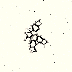 O=C1OC(O)(c2ccc3c(c2)OCO3)C(Cc2ccc3[nH]cnc3c2)=C1c1ccc2nsnc2c1